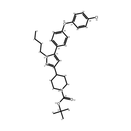 CCCCn1nc(C2CCN(C(=O)OC(C)(C)C)CC2)cc1-c1ccc(Oc2ccc(Cl)cc2)cc1